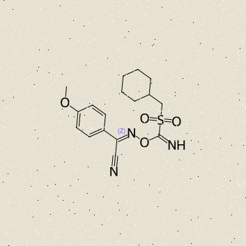 COc1ccc(/C(C#N)=N/OC(=N)S(=O)(=O)CC2CCCCC2)cc1